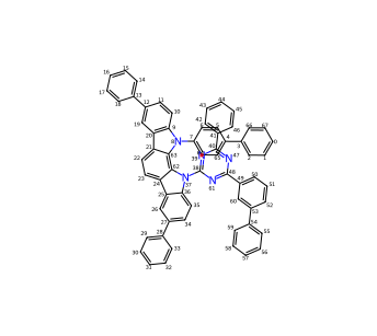 c1ccc(-c2ccc(-n3c4ccc(-c5ccccc5)cc4c4ccc5c6cc(-c7ccccc7)ccc6n(-c6nc(-c7ccccc7)nc(-c7cccc(-c8ccccc8)c7)n6)c5c43)cc2)cc1